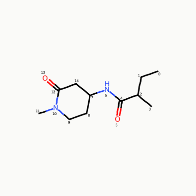 CCC(C)C(=O)NC1CCN(C)C(=O)C1